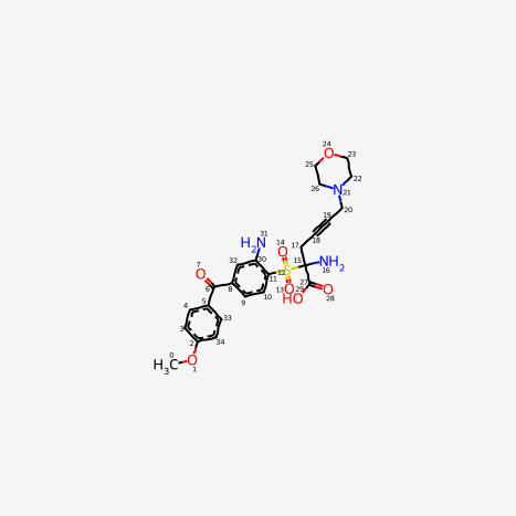 COc1ccc(C(=O)c2ccc(S(=O)(=O)C(N)(CC#CCN3CCOCC3)C(=O)O)c(N)c2)cc1